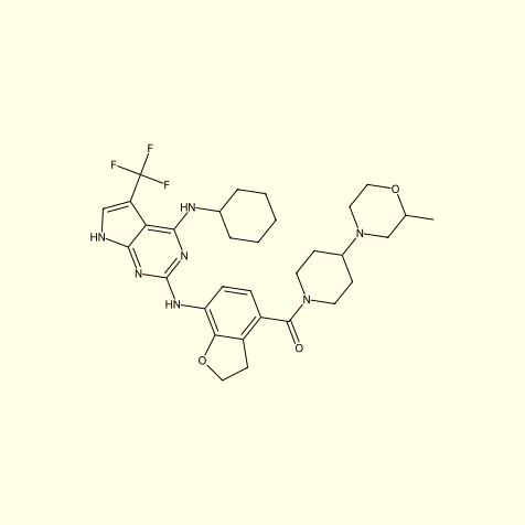 CC1CN(C2CCN(C(=O)c3ccc(Nc4nc(NC5CCCCC5)c5c(C(F)(F)F)c[nH]c5n4)c4c3CCO4)CC2)CCO1